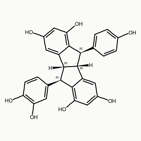 Oc1ccc([C@@H]2c3c(O)cc(O)cc3[C@H]3[C@H](c4ccc(O)c(O)c4)c4c(O)cc(O)cc4[C@@H]23)cc1